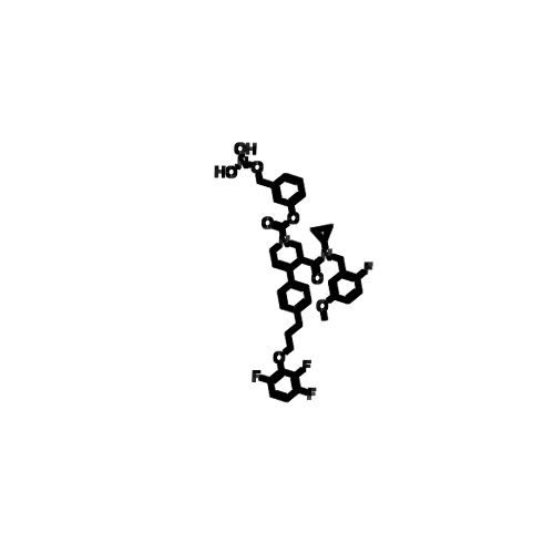 COc1ccc(F)c(CN(C(=O)C2CN(C(=O)Oc3cccc(CON(O)O)c3)CC=C2c2ccc(CCCOc3c(F)ccc(F)c3F)cc2)C2CC2)c1